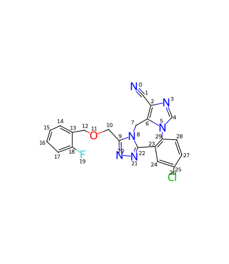 N#Cc1ncn2c1Cn1c(COCc3ccccc3F)nnc1-c1cc(Cl)ccc1-2